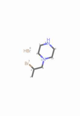 Br.CC(Br)CN1CCNCC1